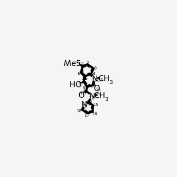 CSc1ccc2c(c1)c(O)c(C(=O)N(C)c1ccccn1)c(=O)n2C